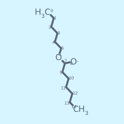 CCCCCCOC([O])CCCCCC